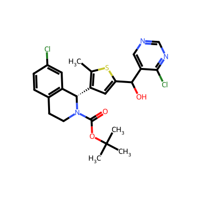 Cc1sc(C(O)c2cncnc2Cl)cc1[C@H]1c2cc(Cl)ccc2CCN1C(=O)OC(C)(C)C